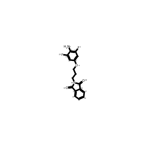 Nc1c(F)cc(OCCCN2C(=O)c3ccccc3C2=O)cc1F